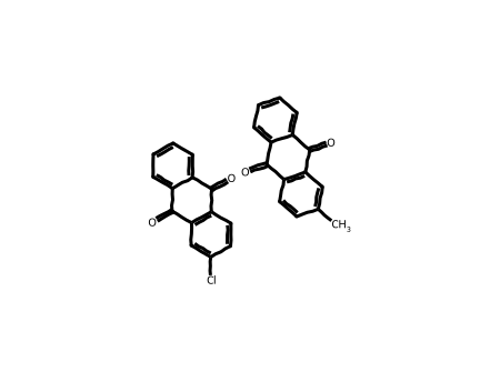 Cc1ccc2c(c1)C(=O)c1ccccc1C2=O.O=C1c2ccccc2C(=O)c2cc(Cl)ccc21